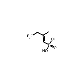 CC(=CP(=O)(O)O)CC(F)(F)F